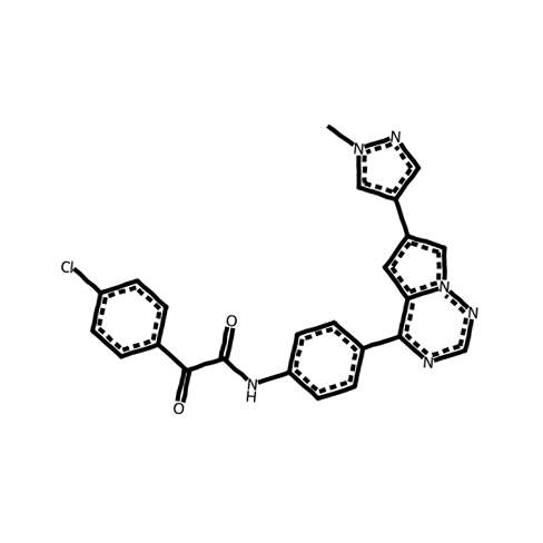 Cn1cc(-c2cc3c(-c4ccc(NC(=O)C(=O)c5ccc(Cl)cc5)cc4)ncnn3c2)cn1